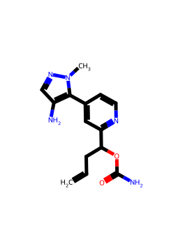 C=CCC(OC(N)=O)c1cc(-c2c(N)cnn2C)ccn1